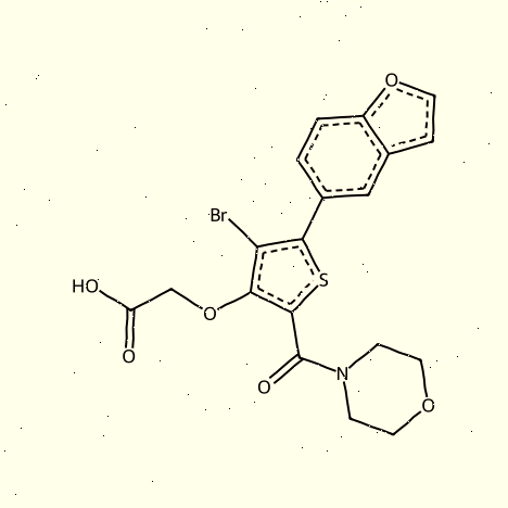 O=C(O)COc1c(C(=O)N2CCOCC2)sc(-c2ccc3occc3c2)c1Br